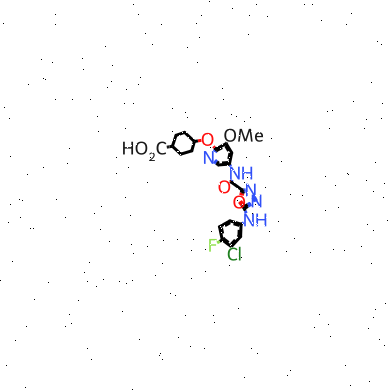 COc1cc(NC(=O)c2nnc(Nc3ccc(F)c(Cl)c3)o2)cnc1OC1CCC(C(=O)O)CC1